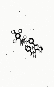 CC(Nc1nc(-c2cccc(NC(=O)Nc3cc(Cl)c(Cl)cc3Cl)c2)cn2ccnc12)c1ccncc1